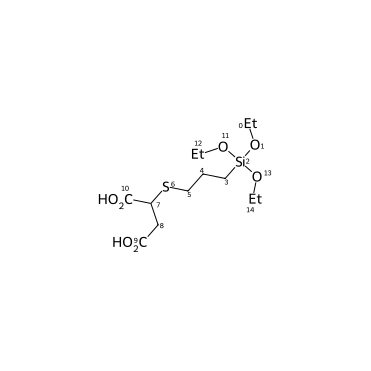 CCO[Si](CCCSC(CC(=O)O)C(=O)O)(OCC)OCC